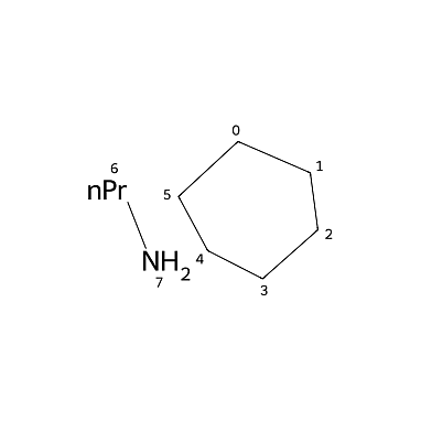 C1CCCCC1.CCCN